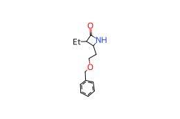 CCC1C(=O)NC1CCOCc1ccccc1